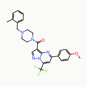 COc1ccc(-c2cc(C(F)(F)F)n3ncc(C(=O)N4CCN(Cc5ccccc5C)CC4)c3n2)cc1